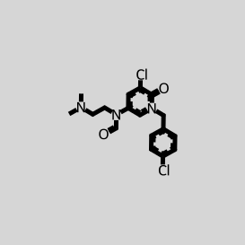 CN(C)CCN(C=O)c1cc(Cl)c(=O)n(Cc2ccc(Cl)cc2)c1